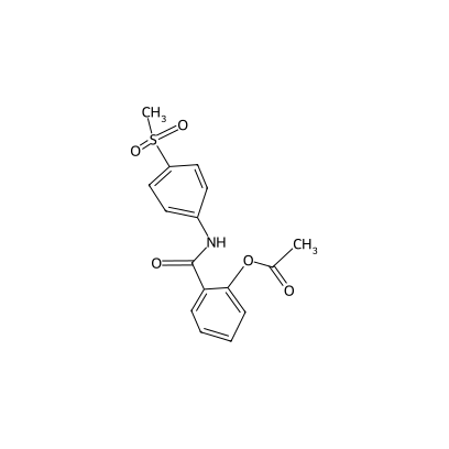 CC(=O)Oc1ccccc1C(=O)Nc1ccc(S(C)(=O)=O)cc1